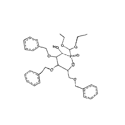 CCOC(OCC)P1(=O)OC(COCc2ccccc2)C(OCc2ccccc2)C(OCc2ccccc2)C1O